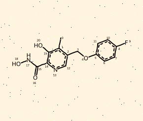 Cc1c(COc2ccc(F)cc2)cnc(C(=O)NO)c1O